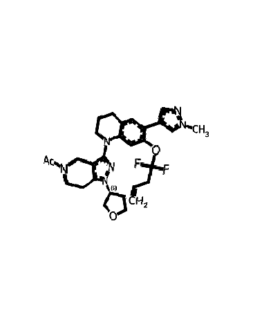 C=CCC(F)(F)Oc1cc2c(cc1-c1cnn(C)c1)CCCN2c1nn([C@H]2CCOC2)c2c1CN(C(C)=O)CC2